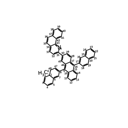 C[C@@]12C=CC=CC1=CC(c1c3ccccc3c(-c3ccc4ccccc4c3)c3ccc(-c4ccc5ccc6ccccc6c5n4)cc13)=CC2